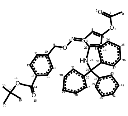 CC(=O)OC1=CS(=NOCc2ccc(C(=O)OC(C)(C)C)cc2)C(NC(c2ccccc2)(c2ccccc2)c2ccccc2)=N1